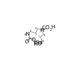 CN(CCCN(CCCO)C(=O)O)C(=O)OC(C)(C)C